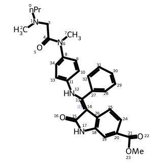 CCCN(C)CC(=O)N(C)c1ccc(N/C(=C2\C(=O)Nc3cc(C(=O)OC)ccc32)c2ccccc2)cc1